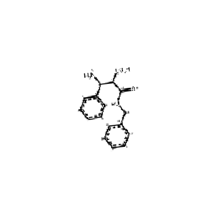 NC(c1ccccc1)C(C(=O)O)C(=O)OCc1ccccc1